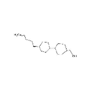 C=CCCC[C@H]1CC[C@H](C2CCC(CO)CC2)CC1